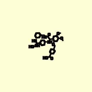 COc1cc(OCc2ccc(C(=O)O)cc2)c(C(Nc2ccc(C(=N)NO)cc2)C(=O)NCc2ccccc2)cc1OC